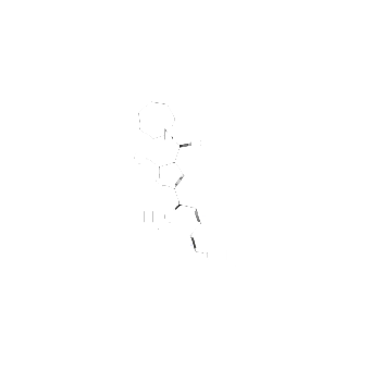 C=C(/C=C\C=C/C)C1=CC(C(=O)N2CCCCCC2)C(Cl)S1